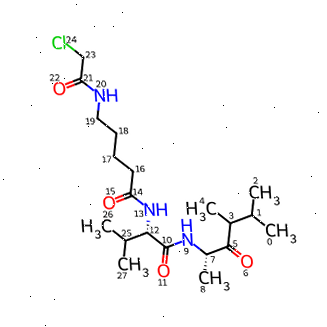 CC(C)C(C)C(=O)[C@H](C)NC(=O)[C@@H](NC(=O)CCCCNC(=O)CCl)C(C)C